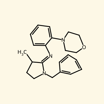 CC1CCN(Cc2ccccc2)/C1=N/c1ccccc1N1CCOCC1